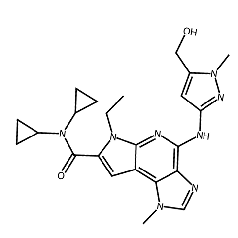 CCn1c(C(=O)N(C2CC2)C2CC2)cc2c3c(ncn3C)c(Nc3cc(CO)n(C)n3)nc21